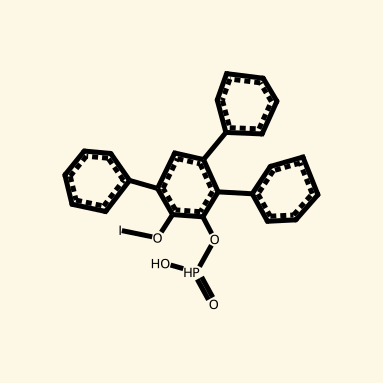 O=[PH](O)Oc1c(OI)c(-c2ccccc2)cc(-c2ccccc2)c1-c1ccccc1